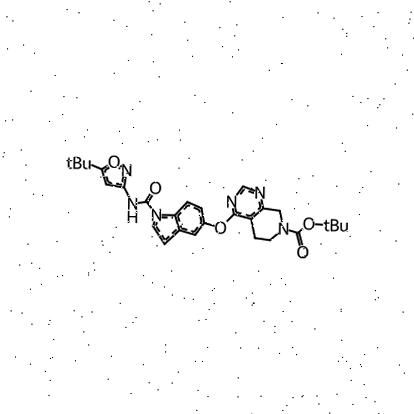 CC(C)(C)OC(=O)N1CCc2c(ncnc2Oc2ccc3c(ccn3C(=O)Nc3cc(C(C)(C)C)on3)c2)C1